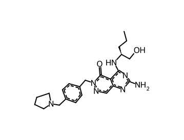 CCC[C@@H](CO)Nc1nc(N)nc2cnn(Cc3ccc(CN4CCCC4)cc3)c(=O)c12